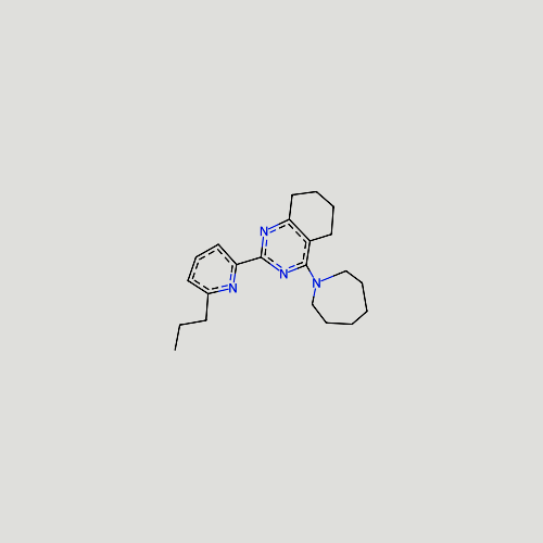 CCCc1cccc(-c2nc3c(c(N4CCCCCC4)n2)CCCC3)n1